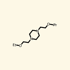 CCOCCN1CCN(CCOC(C)C)CC1